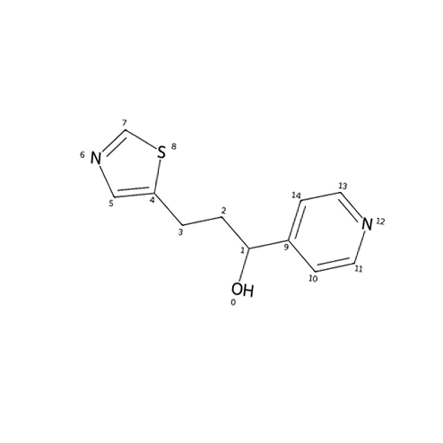 OC(CCc1cncs1)c1ccncc1